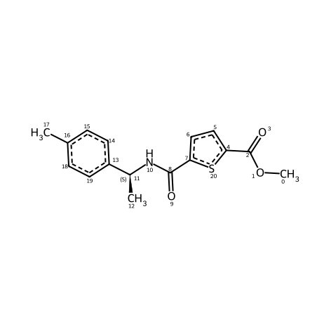 COC(=O)c1ccc(C(=O)N[C@@H](C)c2ccc(C)cc2)s1